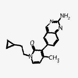 Cc1ccn(CCC2CC2)c(=O)c1-c1ccc2nc(N)ncc2c1